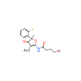 CC(=O)OC1=C(NC(=O)CCCBr)OC(C)(c2ccccc2F)C1=O